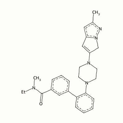 CCN(C)C(=O)c1cccc(-c2ccccc2N2CCN(C3=Cc4cc(C)nn4C3)CC2)c1